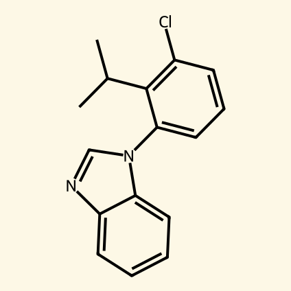 CC(C)c1c(Cl)cccc1-n1cnc2ccccc21